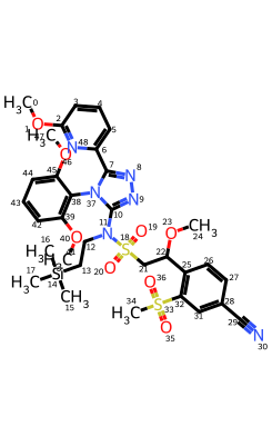 COc1cccc(-c2nnc(N(CC[Si](C)(C)C)S(=O)(=O)CC(OC)c3ccc(C#N)cc3S(C)(=O)=O)n2-c2c(OC)cccc2OC)n1